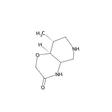 C[C@@H]1CNCC2NC(=O)CO[C@H]21